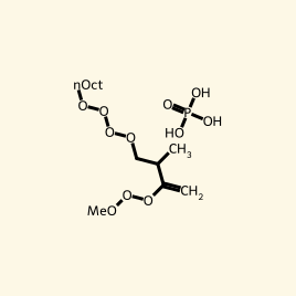 C=C(OOOC)C(C)COOOOCCCCCCCC.O=P(O)(O)O